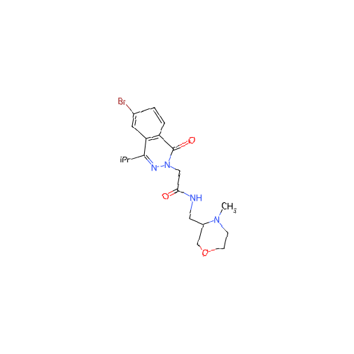 CC(C)c1nn(CC(=O)NCC2COCCN2C)c(=O)c2ccc(Br)cc12